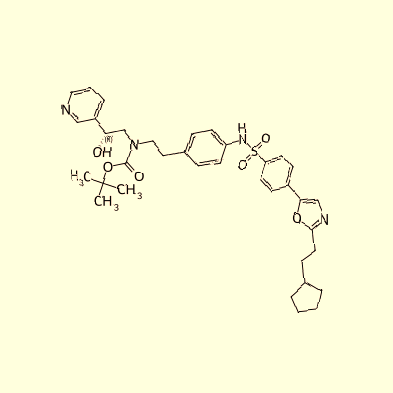 CC(C)(C)OC(=O)N(CCc1ccc(NS(=O)(=O)c2ccc(-c3cnc(CCC4CCCC4)o3)cc2)cc1)C[C@H](O)c1cccnc1